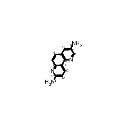 Nc1cnc2c(ccc3nc(N)ccc32)c1